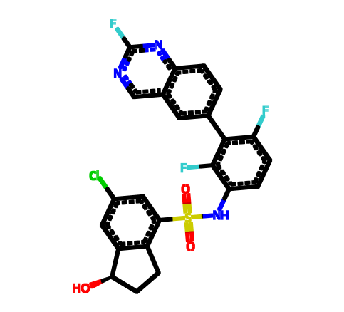 O=S(=O)(Nc1ccc(F)c(-c2ccc3nc(F)ncc3c2)c1F)c1cc(Cl)cc2c1CC[C@H]2O